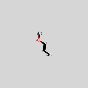 [CH2]CC=COC[CH2]